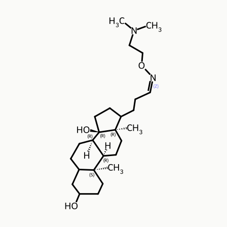 CN(C)CCO/N=C\CCC1CC[C@@]2(O)[C@@H]3CCC4CC(O)CC[C@]4(C)[C@@H]3CC[C@]12C